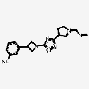 C=NCN1CCC(c2noc(N3CC(c4cccc(C#N)c4)C3)n2)C1